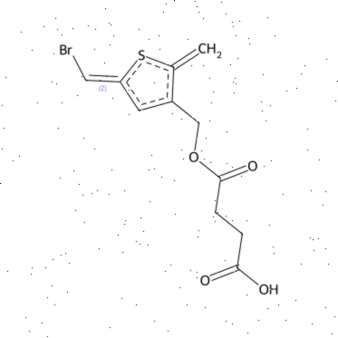 C=c1s/c(=C\Br)cc1COC(=O)CCC(=O)O